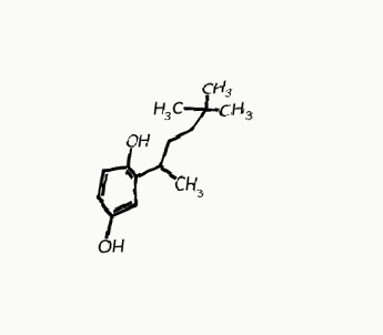 CC(CCC(C)(C)C)c1cc(O)ccc1O